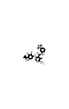 Cc1c(C(F)(F)F)nnc(Oc2ccc(C3(C#N)CC3)c(F)c2F)c1C(=O)Nc1cccc(S(C)(=O)=O)c1